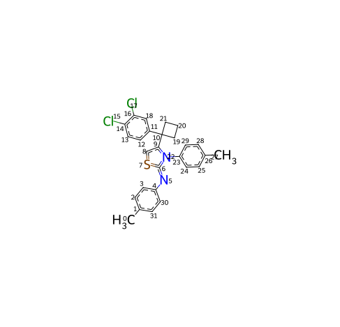 Cc1ccc(N=c2scc(C3(c4ccc(Cl)c(Cl)c4)CCC3)n2-c2ccc(C)cc2)cc1